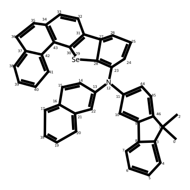 CC1(C)c2ccccc2-c2cc(N(c3ccc4ccccc4c3)c3cccc4c3[se]c3c4ccc4ccc5ccccc5c43)ccc21